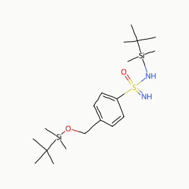 CC(C)(C)[Si](C)(C)NS(=N)(=O)c1ccc(CO[Si](C)(C)C(C)(C)C)cc1